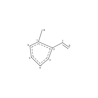 C=Cc1c[c]ccc1C